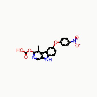 Cc1c(OC(=O)O)ncc2[nH]c3ccc(Oc4ccc([N+](=O)[O-])cc4)cc3c12